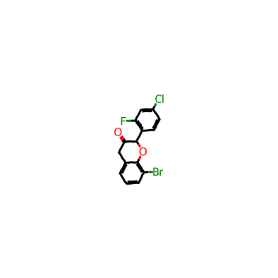 O=C1Cc2cccc(Br)c2OC1c1ccc(Cl)cc1F